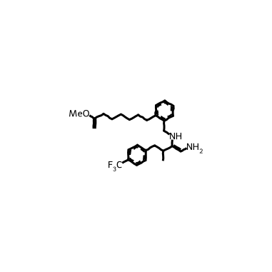 C=C(CCCCCCc1ccccc1CN/C(=C\N)C(C)Cc1ccc(C(F)(F)F)cc1)OC